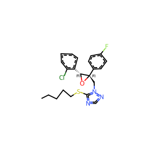 CCCCCSc1ncnn1C[C@@]1(c2ccc(F)cc2)O[C@@H]1c1ccccc1Cl